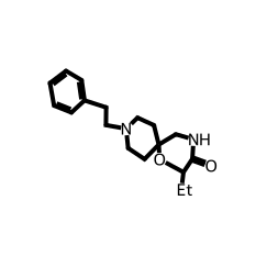 CCC1OC2(CCN(CCc3ccccc3)CC2)CNC1=O